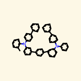 Cc1ccccc1N(c1ccc(-c2ccccc2)cc1)c1cccc(-c2ccc(-c3cccc(N(c4ccccc4)c4ccc(-c5ccccc5)cc4)c3)cc2)c1